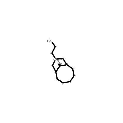 CCCN1CC2CCCCCC(C1)C2=O